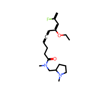 C=C(F)/C=C(\C=C=CCCC(=O)N(C)CC1CCCN1C)OCC